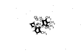 CC1=[C]([Zr+2][C]2=C(C)C(C)=C(C)C2(C)C)C([Si]2(C)CCC2)=CC1.[Cl-].[Cl-]